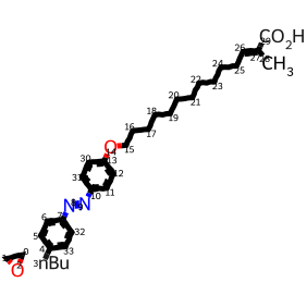 C1CO1.CCCCc1ccc(N=Nc2ccc(OCCCCCCCCCCCC=C(C)C(=O)O)cc2)cc1